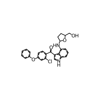 O=C(c1ccc(Oc2ccccc2)cc1Cl)c1c[nH]c2cccc(NC3CCC(CO)O3)c12